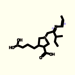 C/C=C\N=C(\CN1CC(CCCB(O)O)C(C(=O)O)C1)C(C)CC